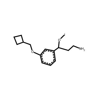 NCCC(OI)c1cccc(OCC2CCC2)c1